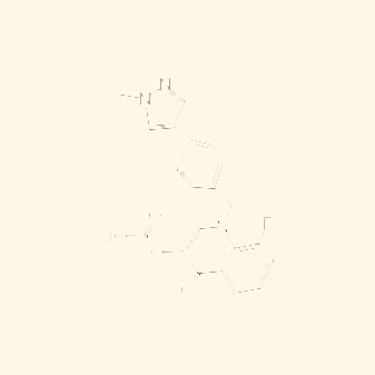 Cn1cc(-c2ccc(Cn3cc(OC(=O)O)c(=O)c4cccc(F)c43)cc2)cn1